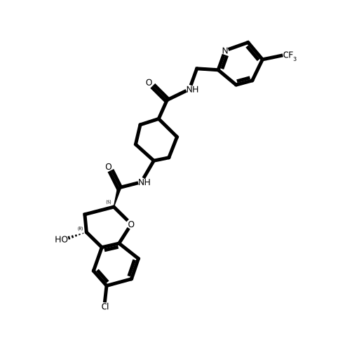 O=C(NCc1ccc(C(F)(F)F)cn1)C1CCC(NC(=O)[C@@H]2C[C@@H](O)c3cc(Cl)ccc3O2)CC1